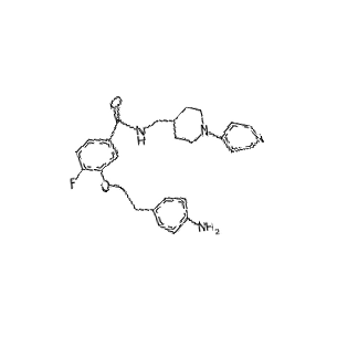 Nc1ccc(CCOc2cc(C(=O)NCC3CCN(c4ccncc4)CC3)ccc2F)cc1